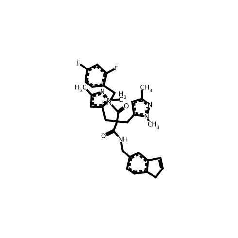 Cc1cc(CC(Cc2cc(C)nn2C)(C(=O)NCc2ccc3c(c2)C=CC3)C(=O)NCc2ccc(F)cc2F)n(C)n1